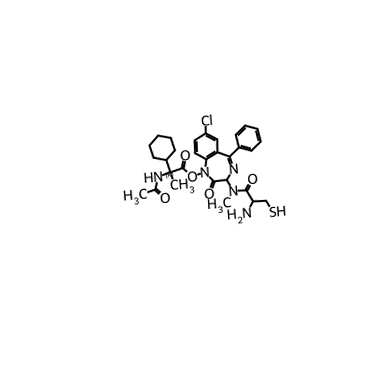 CC(=O)N[C@@](C)(C(=O)ON1C(=O)C(N(C)C(=O)C(N)CS)N=C(c2ccccc2)c2cc(Cl)ccc21)C1CCCCC1